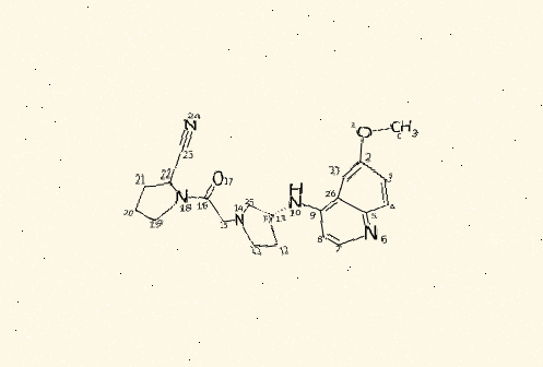 COc1ccc2nccc(N[C@@H]3CCN(CC(=O)N4CCCC4C#N)C3)c2c1